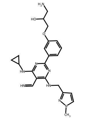 Cn1ccc(CNc2nc(-c3cccc(OCC(O)CN)c3)nc(NC3CC3)c2C=N)n1